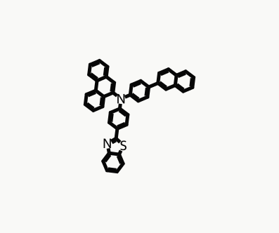 c1ccc2cc(-c3ccc(N(c4ccc(-c5nc6ccccc6s5)cc4)c4cc5ccccc5c5ccccc45)cc3)ccc2c1